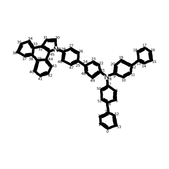 c1ccc(-c2ccc(N(c3ccc(-c4ccccc4)cc3)c3ccc(-c4ccc(-n5ccc6c7ccccc7c7ccccc7c65)cc4)cc3)cc2)cc1